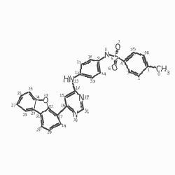 Cc1ccc(S(=O)(=O)[N]c2ccc(Nc3cc(-c4cccc5c4oc4ccccc45)ncn3)cc2)cc1